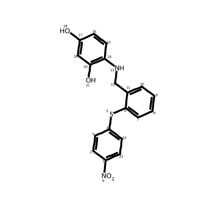 O=[N+]([O-])c1ccc(Sc2ccccc2CNc2ccc(O)cc2O)cc1